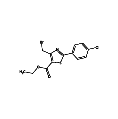 CCOC(=O)c1sc(-c2ccc(Cl)cc2)nc1CBr